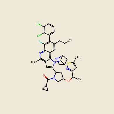 Cc1cc(C(C)OC2CC(c3cc4c(C)nc5c(F)c(-c6cccc(Cl)c6Cl)c(CCC#N)cc5c4n3C3C4CNC3C4)N(C(=O)C3CC3)C2)ns1